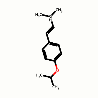 CC(C)Oc1ccc(C=C[SiH](C)C)cc1